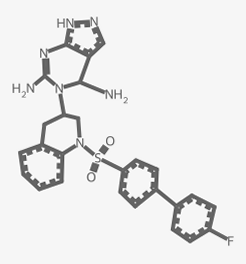 NC1=Nc2[nH]ncc2C(N)N1C1Cc2ccccc2N(S(=O)(=O)c2ccc(-c3ccc(F)cc3)cc2)C1